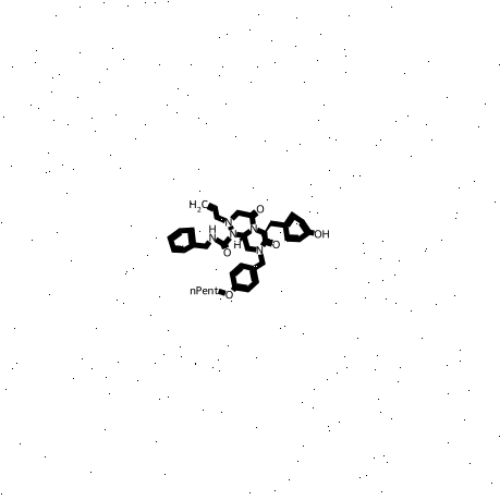 C=CCN1CC(=O)N2[C@@H](Cc3ccc(O)cc3)C(=O)N(Cc3ccc(OCCCCC)cc3)C[C@@H]2N1C(=O)NCc1ccccc1